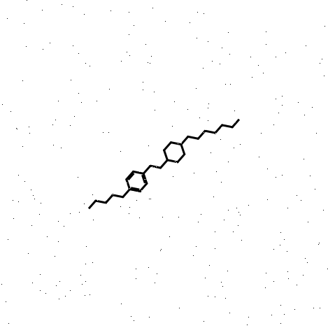 CCCCCCCC1CCC(CCc2ccc(CCCCC)cc2)CC1